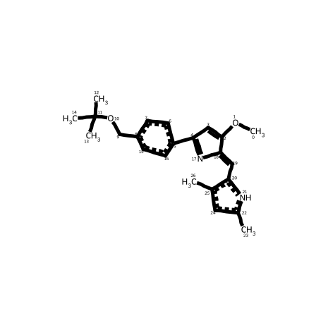 COC1=CC(c2ccc(COC(C)(C)C)cc2)=NC1=Cc1[nH]c(C)cc1C